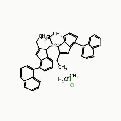 CC.CCC1=Cc2c(-c3cccc4ccccc34)cccc2[CH]1[Zr+2]([SiH2]C)[CH]1C(CC)=Cc2c(-c3cccc4ccccc34)cccc21.[Cl-].[Cl-]